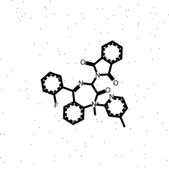 Cc1ccnc([N+]2(C)C(=O)C(N3C(=O)c4ccccc4C3=O)N=C(c3ccccc3F)c3ccccc32)c1